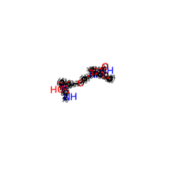 CC(C)(C)NC1CCC(N(C(=O)O)c2cc(/C=C/CCOc3ccc(CCNC[C@@H](O[Si](C)(C)C(C)(C)C)c4ccc(OCc5ccccc5)c5[nH]c(=O)ccc45)cc3)ccc2-c2ccccc2)CC1